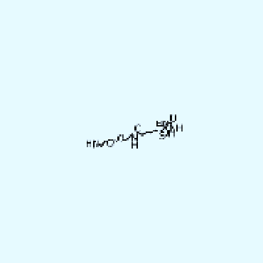 CNCCOCCOCCNC(=O)CCCC[C@@H]1SC[C@@H]2NC(=O)N[C@@H]21